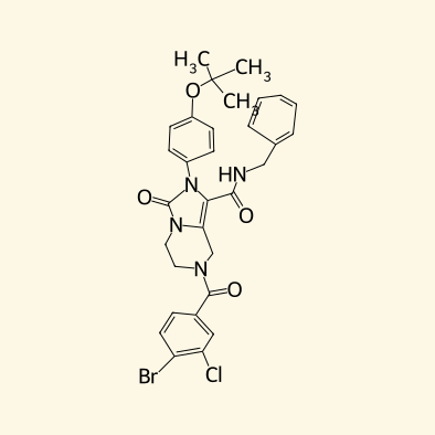 CC(C)(C)Oc1ccc(-n2c(C(=O)NCc3ccccc3)c3n(c2=O)CCN(C(=O)c2ccc(Br)c(Cl)c2)C3)cc1